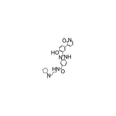 COc1ncccc1-c1ccc(O)c(-c2nc3cc(C(=O)NCCCN(C)C4CCCC4)ccc3[nH]2)c1